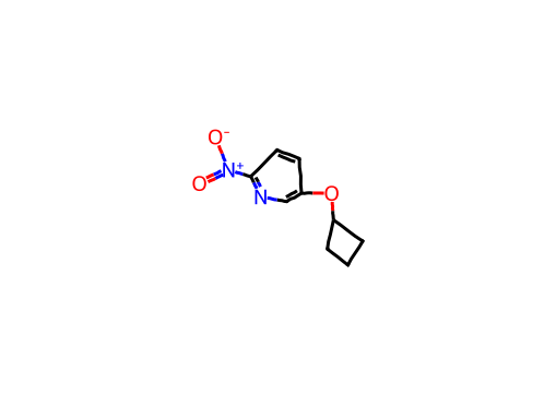 O=[N+]([O-])c1ccc(OC2CCC2)cn1